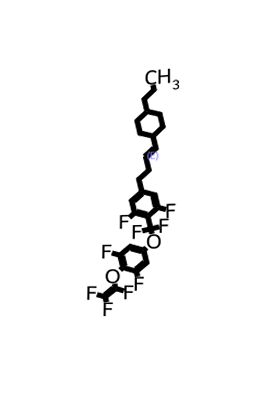 CCCC1CCC(/C=C/CCc2cc(F)c(C(F)(F)Oc3cc(F)c(OC(F)=C(F)F)c(F)c3)c(F)c2)CC1